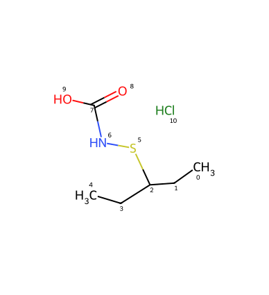 CCC(CC)SNC(=O)O.Cl